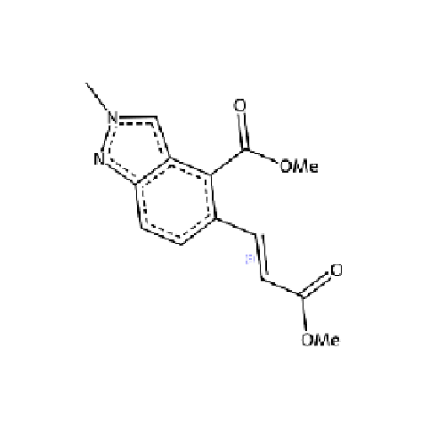 COC(=O)/C=C/c1ccc2nn(C)cc2c1C(=O)OC